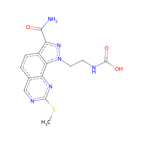 CSc1ncc2ccc3c(C(N)=O)nn(CCNC(=O)O)c3c2n1